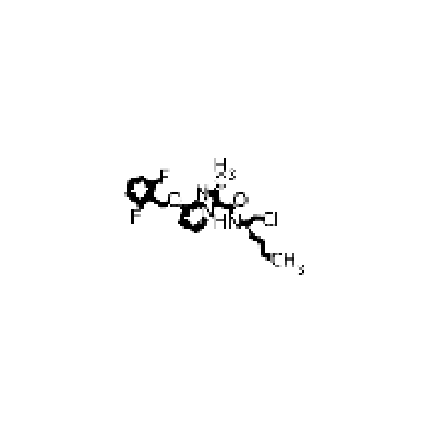 CCCC[C@H](CCl)NC(=O)c1c(C)nc2c(OCc3c(F)cccc3F)cccn12